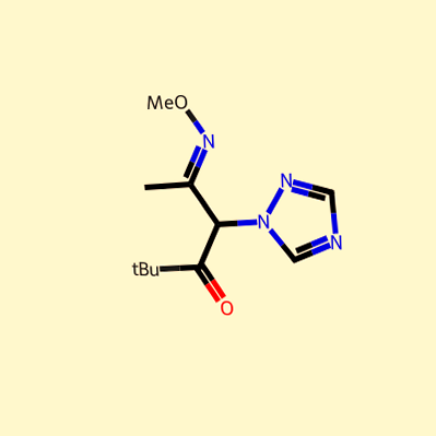 CON=C(C)C(C(=O)C(C)(C)C)n1cncn1